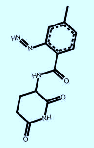 Cc1ccc(C(=O)NC2CCC(=O)NC2=O)c(N=N)c1